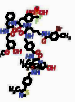 COc1cc(CC(=O)N[C@@H](Cc2ccccc2)C(=O)N[C@@H](Cc2ccc(C(F)(F)P(=O)(O)O)cc2)C(=O)N[C@@H](CCCCNC(=O)c2ccc(C)c(Br)c2)C(=O)NCc2ccc(C(=O)N[C@H](C(=O)N3C[C@H](O)C[C@H]3C(=O)NCc3ccc(-c4scnc4C)cc3)C(C)(C)C)cc2)ccc1O